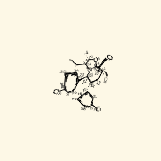 CC[C@H]1[C@H](C)OC23OC(=O)C[C@@]2(C)C[C@H](c2cccc(Cl)c2)[C@@H](c2ccc(Cl)cc2)N13